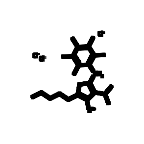 CCCCCC1=[C]([Ti+3])C(C(C)C)=C([SiH2]c2c(C)c(C)c(C)c(C)c2C)C1.[Cl-].[Cl-].[Cl-]